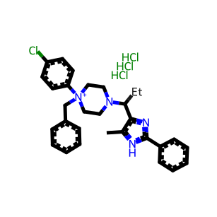 CCC(c1nc(-c2ccccc2)[nH]c1C)N1CC[N+](Cc2ccccc2)(c2ccc(Cl)cc2)CC1.Cl.Cl.Cl